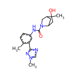 Cc1ccc(NC(=O)N2CC3CC2CC3(C)O)cc1-c1ncn(C)n1